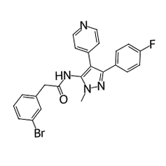 Cn1nc(-c2ccc(F)cc2)c(-c2ccncc2)c1NC(=O)Cc1cccc(Br)c1